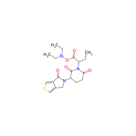 CCC(C(=O)ON(CC)CC)N1C(=O)CCC(N2Cc3cscc3C2=O)C1=O